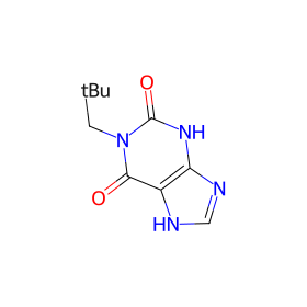 CC(C)(C)Cn1c(=O)[nH]c2nc[nH]c2c1=O